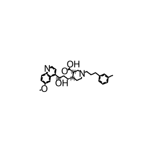 COc1ccc2nccc([C@H](O)CC[C@@H]3CCN(CCCc4cccc(C)c4)C[C@@H]3C(=O)O)c2c1